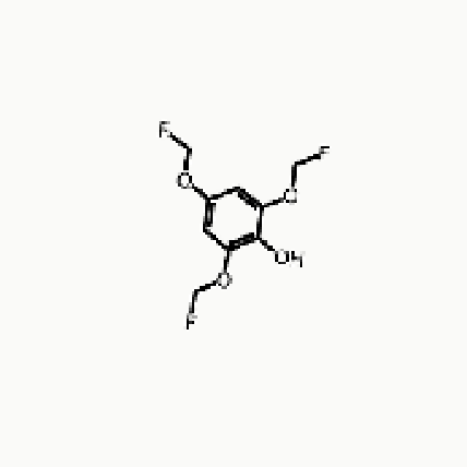 Oc1c(OCF)cc(OCF)cc1OCF